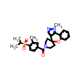 Cc1cc(C(=O)N2CCC3(CC2)Oc2ccccc2-c2c3cnn2C)ccc1S(=O)(=O)C(C)C